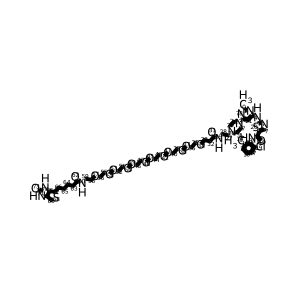 Cc1nc(Nc2ncc(C(=O)Nc3c(C)cccc3Cl)s2)cc(N2CCN(CCNC(=O)CCOCCOOCCOOCCOOCCOOCCOOCCOCCNC(=O)CCCCC3SCC4NC(=O)NC43)CC2)n1